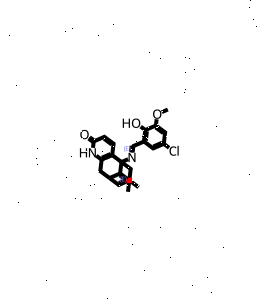 C/C=C1\C2C=C(C)CC1(/N=C/c1cc(Cl)cc(OC)c1O)c1ccc(=O)[nH]c1C2